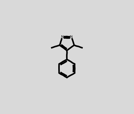 CC1=C(c2cc[c]cc2)C(C)N=N1